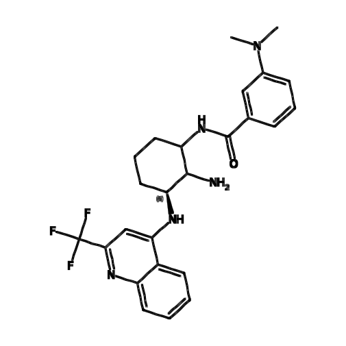 CN(C)c1cccc(C(=O)NC2CCC[C@H](Nc3cc(C(F)(F)F)nc4ccccc34)C2N)c1